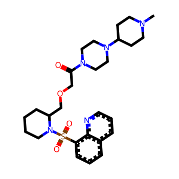 CN1CCC(N2CCN(C(=O)COCC3CCCCN3S(=O)(=O)c3cccc4cccnc34)CC2)CC1